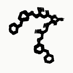 [O-][s+]1nc(NCC(O)COc2cccc(CN3CCCCC3)c2)c(NCC(O)COc2cccc(CN3CCCCC3)c2)n1